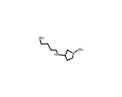 CC(C)(C)CCCCNC1CCN(C(C)(C)C)C1